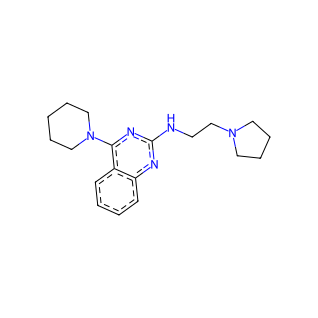 c1ccc2c(N3CCCCC3)nc(NCCN3CCCC3)nc2c1